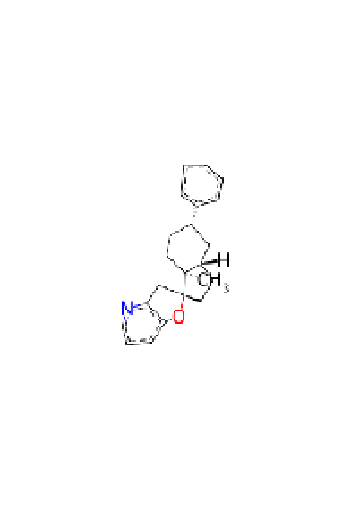 C[C@]12CC[C@H](c3ccccc3)C[C@@H]1CC[C@@]21Cc2ncccc2O1